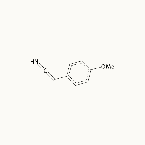 COc1ccc(C=C=N)cc1